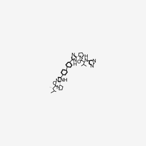 CC(C)[C@H](C)C(=O)N1CCC[C@H]1c1ncc(-c2ccc(-c3ccc(-c4cnc([C@@H]5CCCN5C(=O)[C@@H](Nc5cncnc5)C(C)C)[nH]4)cc3)cc2)[nH]1